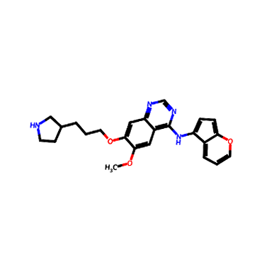 COc1cc2c(Nc3ccc4occcc3-4)ncnc2cc1OCCCC1CCNC1